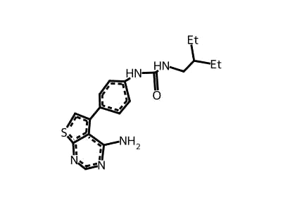 CCC(CC)CNC(=O)Nc1ccc(-c2csc3ncnc(N)c23)cc1